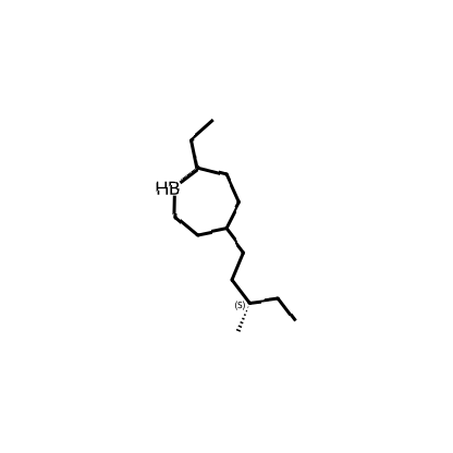 CCC1BCCC(CC[C@@H](C)CC)CC1